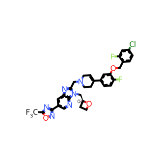 Fc1cc(Cl)ccc1COc1cc(C2=CCN(Cc3nc4cc(-c5noc(C(F)(F)F)n5)cnc4n3C[C@@H]3CCO3)CC2)ccc1F